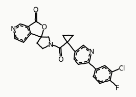 O=C1OC2(CCN(C(=O)C3(c4ccc(-c5ccc(F)c(Cl)c5)nc4)CC3)C2)c2ccncc21